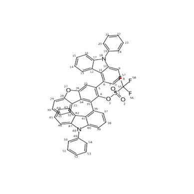 O=S(=O)(Oc1c(-c2cccc3c2c2ccccc2n3-c2ccccc2)cc2oc3ccccc3c2c1-c1cccc2c1c1ccccc1n2-c1ccccc1)C(F)(F)F